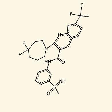 CS(=N)(=O)c1cccc(NC(=O)c2cc3ccc(C(F)(F)F)cc3nc2N2CCCC(F)(F)CC2)c1